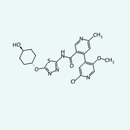 COc1cnc(Cl)cc1-c1cc(C)ncc1C(=O)Nc1nnc(O[C@H]2CC[C@H](O)CC2)s1